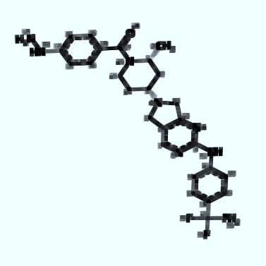 C[C@@H]1C[C@H](N2Cc3cnc(Nc4ccc(C(F)(F)P)cc4)nc3C2)CCN1C(=O)c1ccc(NN)cc1